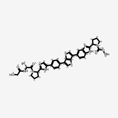 CC(C)[C@H](NC(=O)CO)C(=O)N1CCCC1c1ncc(-c2ccc(-c3csc4c(-c5ccc6[nH]c(C7CCCN7C(=O)OC(C)(C)C)nc6c5)csc34)cc2)[nH]1